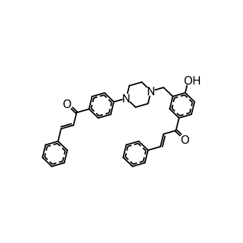 O=C(/C=C/c1ccccc1)c1ccc(N2CCN(Cc3cc(C(=O)/C=C/c4ccccc4)ccc3O)CC2)cc1